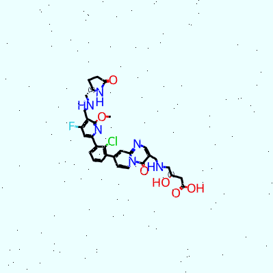 COc1nc(-c2cccc(-c3ccn4c(=O)c(CNC[C@@H](O)CC(=O)O)cnc4c3)c2Cl)cc(F)c1CNC[C@@H]1CCC(=O)N1